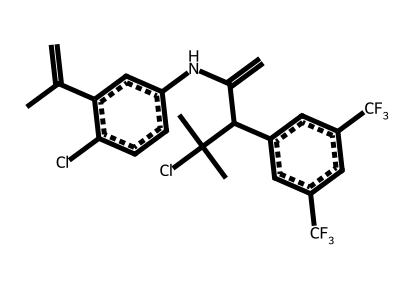 C=C(C)c1cc(NC(=C)C(c2cc(C(F)(F)F)cc(C(F)(F)F)c2)C(C)(C)Cl)ccc1Cl